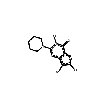 CC(=O)c1c(C)sc2c(=O)n(C)c(N3CCCCC3)nc12